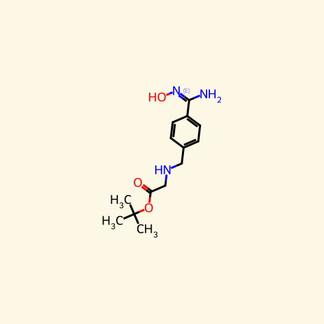 CC(C)(C)OC(=O)CNCc1ccc(/C(N)=N\O)cc1